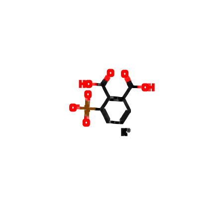 O=C(O)c1cccc(S(=O)(=O)[O-])c1C(=O)O.[K+]